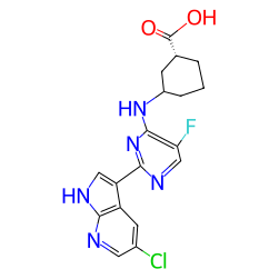 O=C(O)[C@@H]1CCCC(Nc2nc(-c3c[nH]c4ncc(Cl)cc34)ncc2F)C1